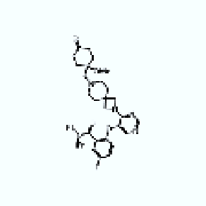 CCN(C(=O)c1cc(F)ccc1Oc1cncnc1N1CC2(CCN(CC3(OC)CCC(=O)CC3)CC2)C1)C(C)C